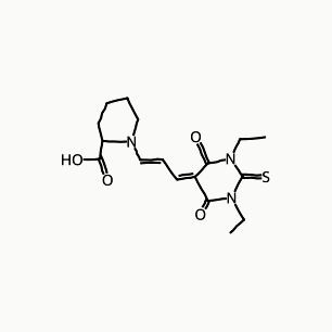 CCN1C(=O)C(=C/C=C/N2CCCCC2C(=O)O)C(=O)N(CC)C1=S